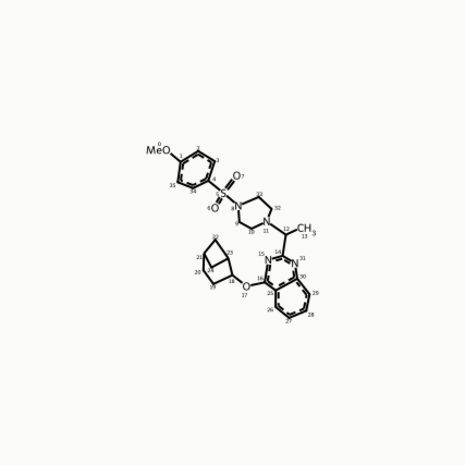 COc1ccc(S(=O)(=O)N2CCN(C(C)c3nc(OC4CCC5CC4C5)c4ccccc4n3)CC2)cc1